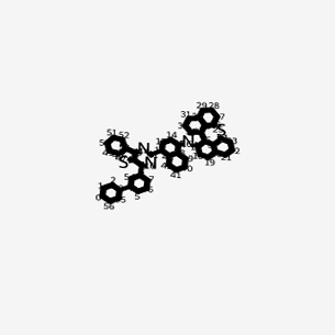 c1ccc(-c2cccc(-c3nc(-c4ccc(-n5c6ccc7cccc8sc9cccc%10ccc5c(c%109)c6c78)c5ccccc45)nc4c3sc3ccccc34)c2)cc1